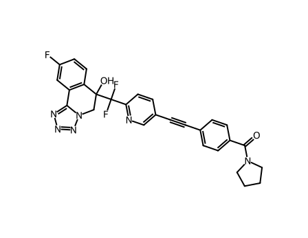 O=C(c1ccc(C#Cc2ccc(C(F)(F)C3(O)Cn4nnnc4-c4cc(F)ccc43)nc2)cc1)N1CCCC1